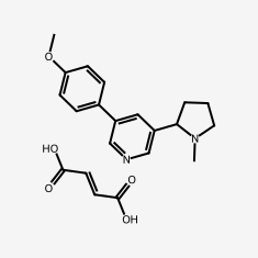 COc1ccc(-c2cncc(C3CCCN3C)c2)cc1.O=C(O)/C=C/C(=O)O